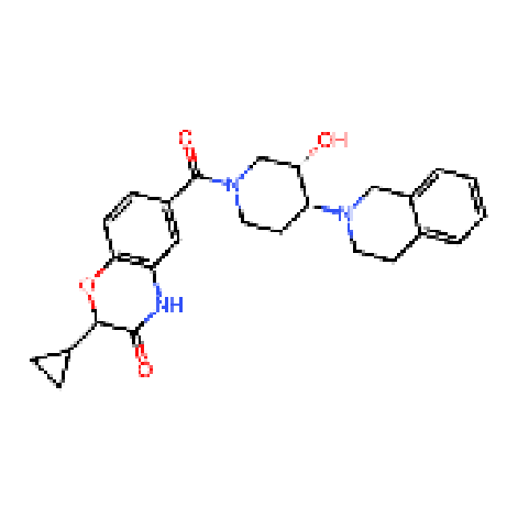 O=C1Nc2cc(C(=O)N3CC[C@H](N4CCc5ccccc5C4)[C@@H](O)C3)ccc2OC1C1CC1